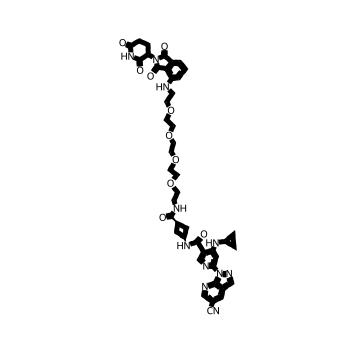 N#Cc1cnc2c(cnn2-c2cc(NC3CC3)c(C(=O)N[C@H]3C[C@H](C(=O)NCCOCCOCCOCCOCCNc4cccc5c4C(=O)N(C4CCC(=O)NC4=O)C5=O)C3)cn2)c1